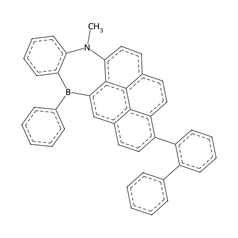 CN1c2ccccc2B(c2ccccc2)c2cc3ccc(-c4ccccc4-c4ccccc4)c4ccc5ccc1c2c5c34